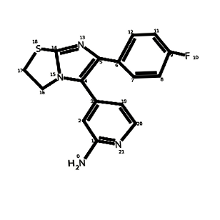 Nc1cc(-c2c(-c3ccc(F)cc3)nc3n2CCS3)ccn1